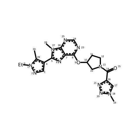 CCn1ncc(-c2nc3c(OC4CCN(C(=O)c5cn(C)nn5)C4)ncnc3n2C)c1C